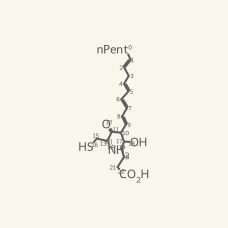 CCCCCC=CCC=CC=CC=CC(C(=O)[C@@H](N)CS)C(O)CCCC(=O)O